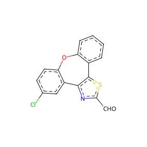 O=Cc1nc2c(s1)-c1ccccc1Oc1ccc(Cl)cc1-2